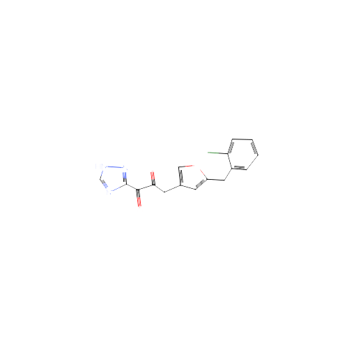 O=C(Cc1coc(Cc2ccccc2Cl)c1)C(=O)c1nc[nH]n1